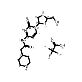 O=C(CC1CCNCC1)Nc1ccn(C2COC(CO)O2)c(=O)n1.O=C(O)C(F)(F)F